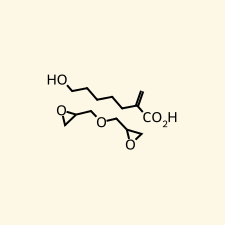 C(OCC1CO1)C1CO1.C=C(CCCCCO)C(=O)O